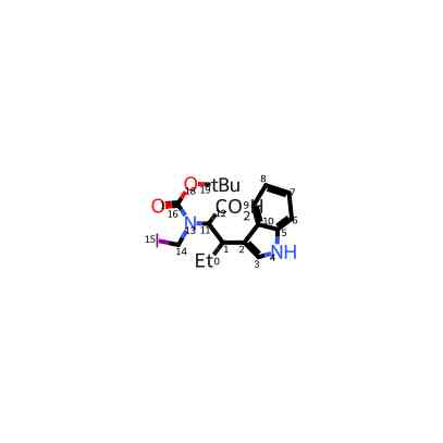 CCC(c1c[nH]c2ccccc12)C(C(=O)O)N(CI)C(=O)OC(C)(C)C